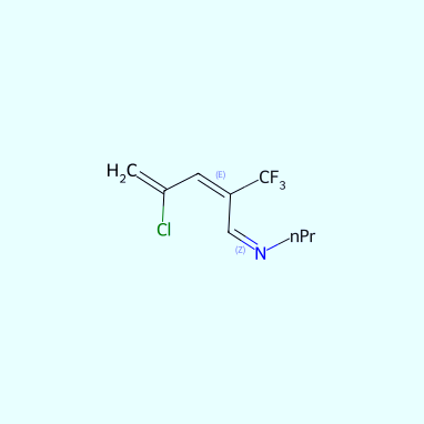 C=C(Cl)/C=C(\C=N/CCC)C(F)(F)F